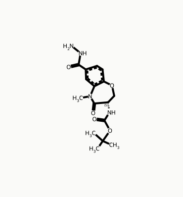 CN1C(=O)[C@@H](NC(=O)OC(C)(C)C)COc2ccc(C(=O)NN)cc21